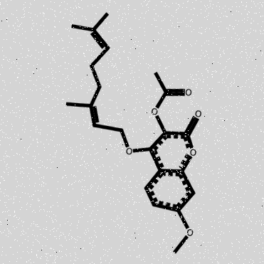 COc1ccc2c(OCC=C(C)CCC=C(C)C)c(OC(C)=O)c(=O)oc2c1